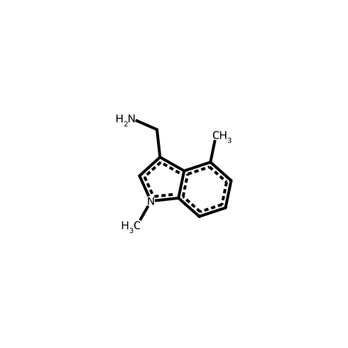 Cc1cccc2c1c(CN)cn2C